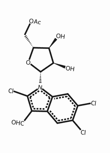 CC(=O)OC[C@H]1O[C@@H](n2c(Cl)c(C=O)c3cc(Cl)c(Cl)cc32)[C@H](O)[C@@H]1O